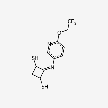 FC(F)(F)COc1ccc(N=C2C(S)CC2S)cn1